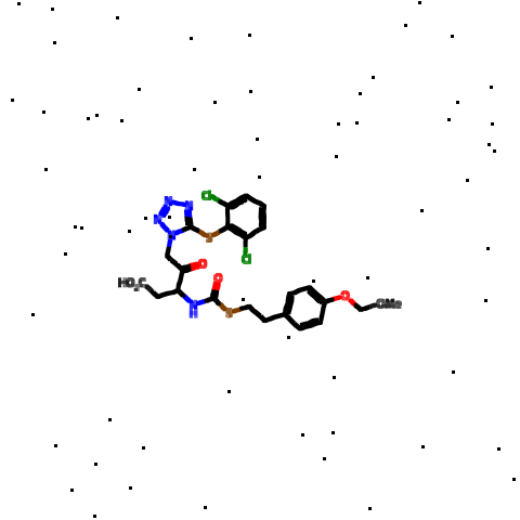 COCOc1ccc(CCSC(=O)NC(CC(=O)O)C(=O)Cn2nnnc2Sc2c(Cl)cccc2Cl)cc1